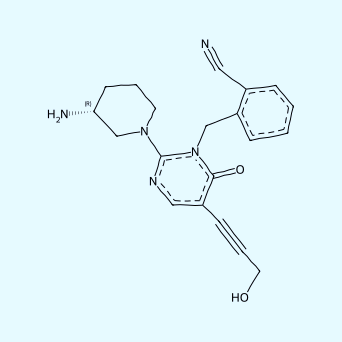 N#Cc1ccccc1Cn1c(N2CCC[C@@H](N)C2)ncc(C#CCO)c1=O